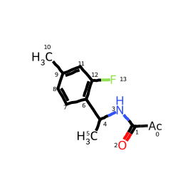 CC(=O)C(=O)NC(C)c1ccc(C)cc1F